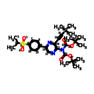 CC(C)S(=O)(=O)c1ccc(-c2cnc(N(C(=O)OC(C)(C)C)C(=O)OC(C)(C)C)c(C#C[Si](C)(C)C)n2)cc1